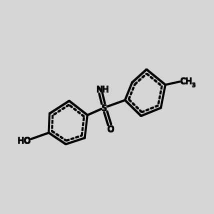 Cc1ccc(S(=N)(=O)c2ccc(O)cc2)cc1